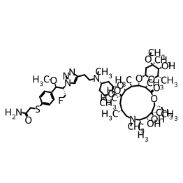 CC[C@H]1OC(=O)[C@H](C)[C@@H](O[C@H]2C[C@@](C)(OC)[C@@H](O)[C@H](C)O2)[C@H](C)[C@@H](O[C@H]2C[C@@H](N(C)CCc3cn([C@H](CF)[C@H](OC)c4ccc(SCC(N)=O)cc4)nn3)C[C@@H](C)O2)[C@](C)(O)C[C@@H](C)CN(C)[C@H](C)[C@@H](O)[C@]1(C)O